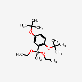 CCO[Si](C)(OCC)c1cc(OC(C)(C)C)ccc1OC(C)(C)C